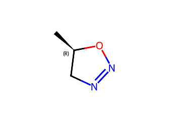 C[C@@H]1CN=NO1